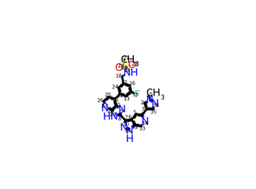 Cn1cc(-c2cc3c(-c4nc5c(-c6cc(F)cc(CNS(C)(=O)=O)c6)ccnc5[nH]4)n[nH]c3cn2)cn1